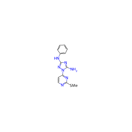 CSc1nccc(-n2nc(Nc3ccccc3)nc2N)n1